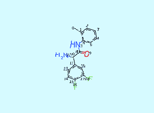 Cc1ccccc1NC(=O)C(N)c1ccc(F)c(F)c1